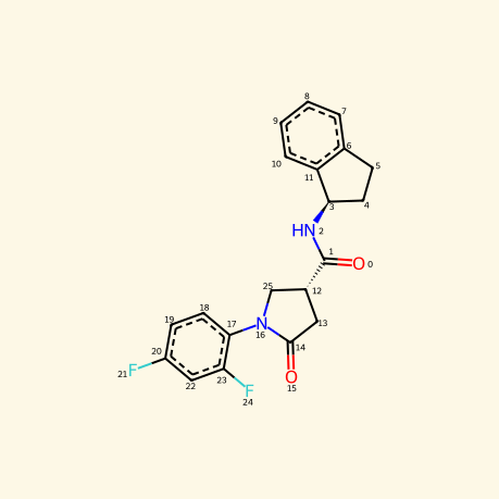 O=C(N[C@@H]1CCc2ccccc21)[C@@H]1CC(=O)N(c2ccc(F)cc2F)C1